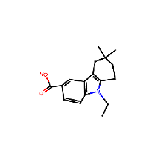 CCn1c2c(c3cc(C(=O)O)ccc31)CC(C)(C)CC2